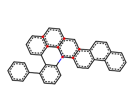 c1ccc(-c2ccccc2-c2c(-c3ccccc3)cccc2N(c2ccccc2)c2ccc3c(ccc4ccccc43)c2)cc1